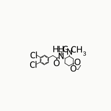 CN(C)[C@H]1CC2(CC[C@@H]1NC(=O)Cc1ccc(Cl)c(Cl)c1)OCCO2